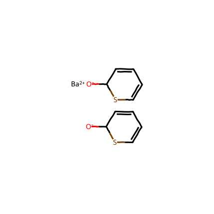 [Ba+2].[O-]C1C=CC=CS1.[O-]C1C=CC=CS1